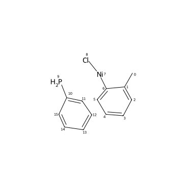 Cc1cccc[c]1[Ni][Cl].Pc1ccccc1